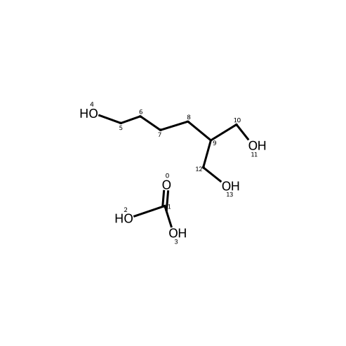 O=C(O)O.OCCCCC(CO)CO